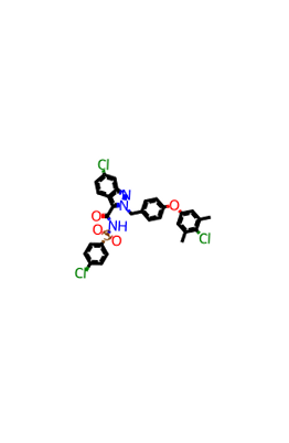 Cc1cc(Oc2ccc(Cn3nc4cc(Cl)ccc4c3C(=O)NS(=O)(=O)c3ccc(Cl)cc3)cc2)cc(C)c1Cl